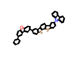 c1ccc(-c2ccc3oc4ccc(-c5ccc6sc7c(ccc8c9cc(-n%10c%11ccccc%11c%11ccccc%11%10)ccc9sc87)c6c5)cc4c3c2)cc1